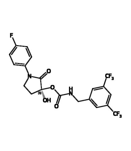 O=C(NCc1cc(C(F)(F)F)cc(C(F)(F)F)c1)O[C@@]1(O)CCN(c2ccc(F)cc2)C1=O